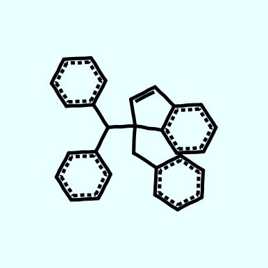 C1=CC(Cc2ccccc2)([C](c2ccccc2)c2ccccc2)c2ccccc21